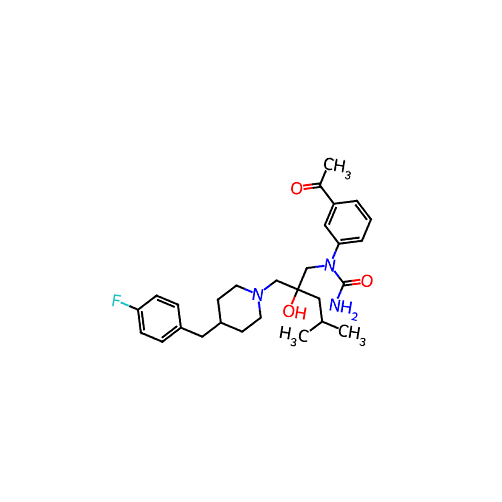 CC(=O)c1cccc(N(CC(O)(CC(C)C)CN2CCC(Cc3ccc(F)cc3)CC2)C(N)=O)c1